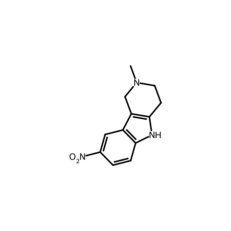 CN1CCc2[nH]c3ccc([N+](=O)[O-])cc3c2C1